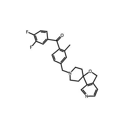 Cc1cc(CN2CCC3(CC2)OCc2ccncc23)ccc1C(=O)c1ccc(F)c(F)c1